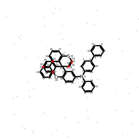 c1ccc(-c2ccc(N(c3ccccc3)c3ccc4c(c3)C3(c5ccccc5O4)c4ccccc4Sc4cccc(-c5ccccc5)c43)cc2)cc1